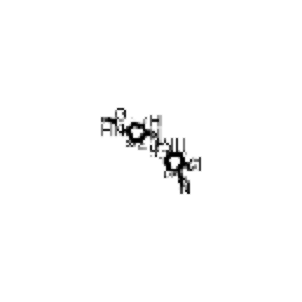 CC(=O)Nc1ccc(NC(=S)Nc2ccc(C#N)c(Cl)c2)cc1